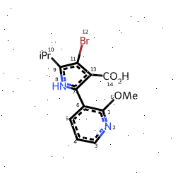 COc1ncccc1-c1[nH]c(C(C)C)c(Br)c1C(=O)O